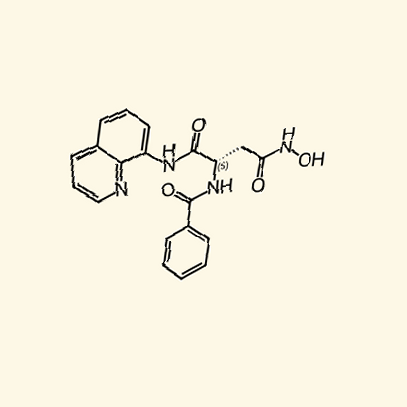 O=C(C[C@H](NC(=O)c1ccccc1)C(=O)Nc1cccc2cccnc12)NO